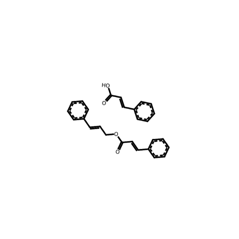 O=C(/C=C/c1ccccc1)OC/C=C/c1ccccc1.O=C(O)/C=C/c1ccccc1